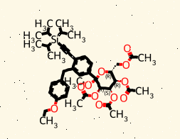 CCOc1ccc(Cc2cc(C3(OC)O[C@H](COC(C)=O)[C@@H](OC(C)=O)[C@H](OC(C)=O)[C@H]3OC(C)=O)ccc2C#C[Si](C(C)C)(C(C)C)C(C)C)cc1